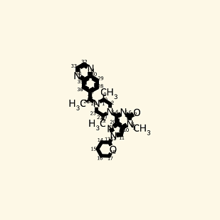 C[C@@H]1CN(c2nc(=O)n(C)c3cn(C4CCCCO4)nc23)[C@@H](C)CN1[C@@H](C)c1ccc2nccnc2c1